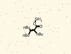 CCCCC(CCCC)=C(CCCC)C(=O)O[SiH3]